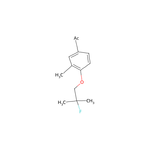 CC(=O)c1ccc(OCC(C)(C)F)c(C)c1